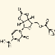 O=C1O[C@@H]2[C@H](O1)[C@@H](COC(=O)C13CC(C1)C3)O[C@H]2n1ccc(NO)nc1=O